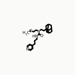 COCCN(CCC12CC3CC(CC(C3)C1)C2)C(=O)NCCCc1ccncc1